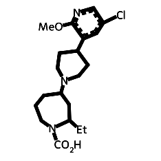 CCC1CC(N2CCC(c3cc(Cl)cnc3OC)CC2)CCCN1C(=O)O